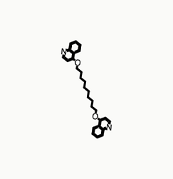 c1ccc2c(OCCCCCCCCCCOc3ccnc4ccccc34)ccnc2c1